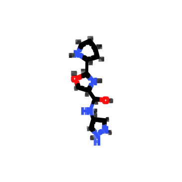 O=C(Nc1cn[nH]c1)c1coc(-c2ccccn2)n1